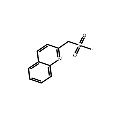 [CH2]S(=O)(=O)Cc1ccc2ccccc2n1